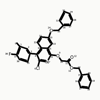 Cc1cc(-c2c(Cl)nc(OCC(=O)OCc3ccccc3)c3cc(OCc4ccccc4)ccc23)ccc1F